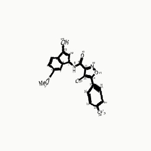 COc1ccc2c(c1)C(NC(=O)c1noc(-c3ccc(C(F)(F)F)cc3)c1Cl)CC2O